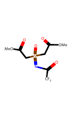 COC(=O)CS(=O)(CC(=O)OC)=NC(=O)C(F)(F)F